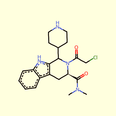 CN(C)C(=O)[C@H]1Cc2c([nH]c3ccccc23)C(C2CCNCC2)N1C(=O)CCl